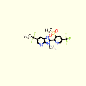 Cn1c(-c2ncc(C(F)(F)F)cc2S(C)(=O)=O)nc2cc(C(C)(F)F)cnc21